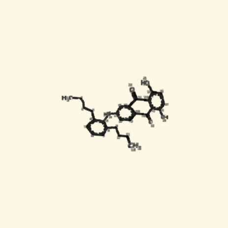 CCCCc1cccc(CCCC)c1Nc1ccc2c(c1)C(=O)c1c(O)ccc(O)c1C2=O